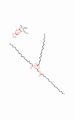 CC(O)C(=O)[O-].CC(O)C(=O)[O-].CCCCCCCCCCCCCCCCCC(=O)OCC(COC(=O)CCCCCCCCCCCCCCCCC)OC(=O)CCCCCCCCCCCCCCCCC.CCCC[CH2][Ca+].[Na+]